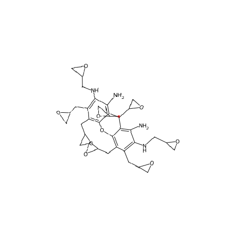 Nc1c(CC2CO2)c(Oc2c(CC3CO3)c(N)c(NCC3CO3)c(CC3CO3)c2CC2CO2)c(CC2CO2)c(CC2CO2)c1NCC1CO1